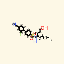 CCC[C@H](CCCO)NS(=O)(=O)c1ccc(-c2ccc(C#N)cc2F)cc1